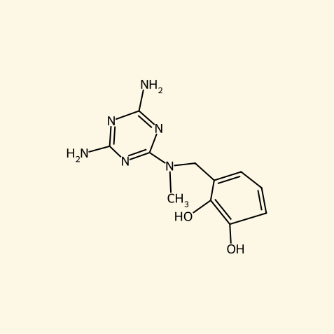 CN(Cc1cccc(O)c1O)c1nc(N)nc(N)n1